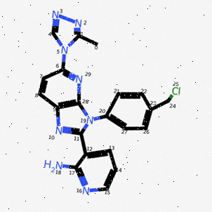 Cc1nncn1-c1ccc2nc(-c3cccnc3N)n(-c3ccc(CCl)cc3)c2n1